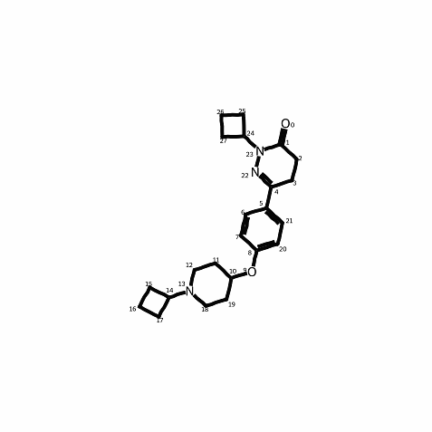 O=C1CCC(c2ccc(OC3CCN(C4CCC4)CC3)cc2)=NN1C1CCC1